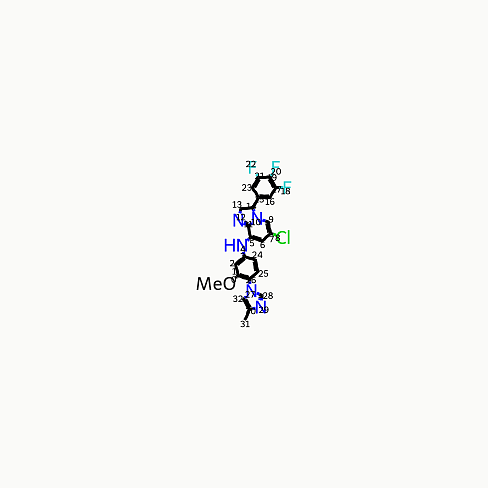 COc1cc(NC2=CC(Cl)=CN3C2=NCC3c2cc(F)c(F)c(F)c2)ccc1-n1cnc(C)c1